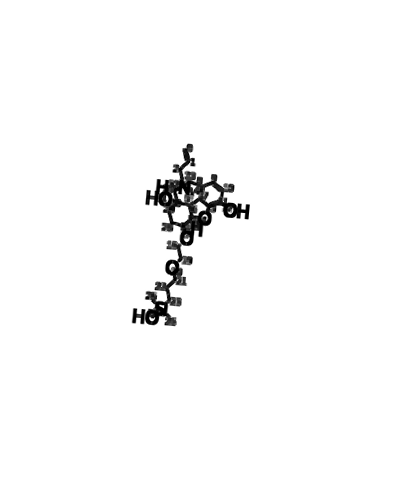 C=CCN1CC[C@]23c4c5ccc(O)c4O[C@H]2[C@@H](OCCOCCC[Si](C)(C)O)CC[C@@]3(O)[C@H]1C5